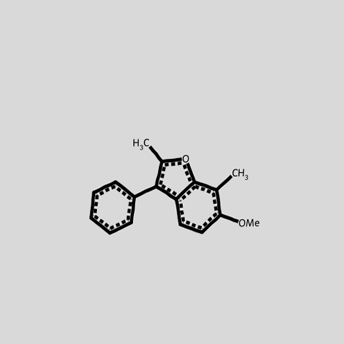 COc1ccc2c(-c3ccccc3)c(C)oc2c1C